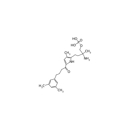 Cc1cc(C)cc(CCCC(=O)c2cc(C)c(CCC(C)(N)COP(=O)(O)O)[nH]2)c1